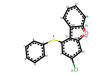 Clc1cc(Sc2ccccc2)c2c(c1)oc1ccccc12